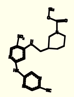 [C-]#[N+]c1cnc(Nc2cc(NCC3CCCN(C(=O)OC(C)(C)C)C3)c([N+](=O)[O-])cn2)cn1